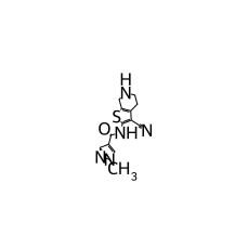 Cn1cc(C(=O)Nc2sc3c(c2C#N)CCNC3)cn1